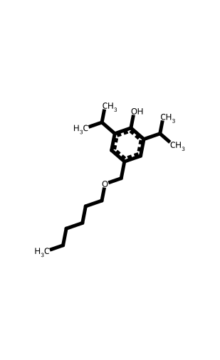 CCCCCCOCc1cc(C(C)C)c(O)c(C(C)C)c1